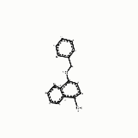 Oc1ccc(OCc2ccccc2)c2ccccc12